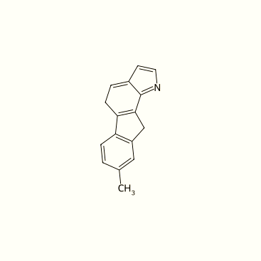 Cc1ccc2c(c1)CC1=C2CC=C2C=CN=C21